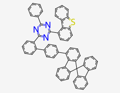 c1ccc(-c2nc(-c3ccccc3-c3ccc(-c4cccc5c4-c4ccccc4C54c5ccccc5-c5ccccc54)cc3)nc(-c3cccc4sc5ccccc5c34)n2)cc1